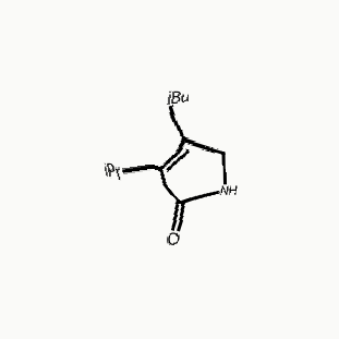 CCC(C)C1=C(C(C)C)C(=O)NC1